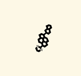 c1cnc(-c2ccc3ccc4c(-c5ccc6ccccc6c5)ccc5ccc2c3c54)nc1